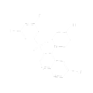 CC1CCN(c2c(S(=O)(=O)c3cc(F)cc(F)c3)cnc3ccc(Cl)cc23)CC1